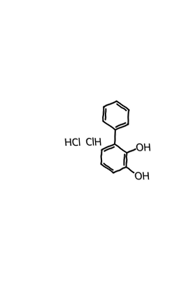 Cl.Cl.Oc1cccc(-c2ccccc2)c1O